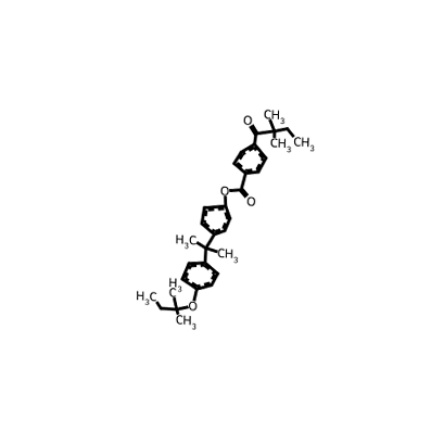 CCC(C)(C)Oc1ccc(C(C)(C)c2ccc(OC(=O)c3ccc(C(=O)C(C)(C)CC)cc3)cc2)cc1